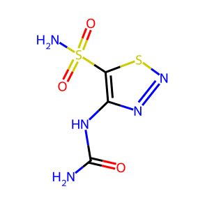 NC(=O)Nc1nnsc1S(N)(=O)=O